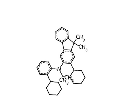 CC(C)N(c1ccccc1C1CCCCC1)c1cc2c(cc1C1CCCCC1)C(C)(C)c1ccccc1-2